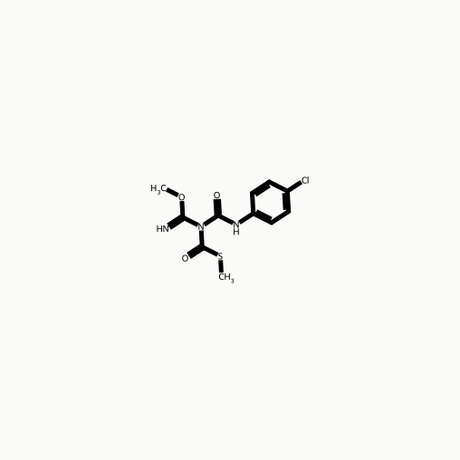 COC(=N)N(C(=O)Nc1ccc(Cl)cc1)C(=O)SC